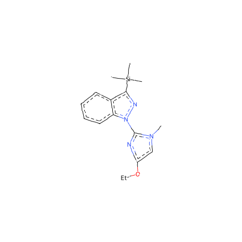 CCOc1cn(C)c(-n2nc([Si](C)(C)C)c3ccccc32)n1